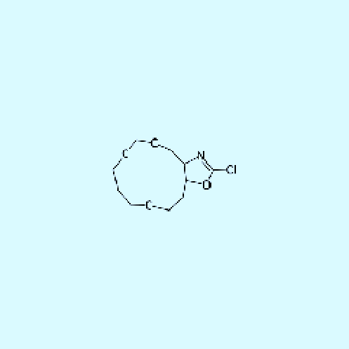 ClC1=NC2CCCCCCCCCCC2O1